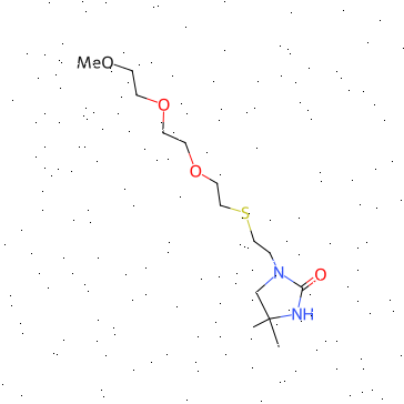 COCCOCCOCCSCCN1CC(C)(C)NC1=O